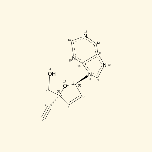 C#C[C@@]1(CO)C=C[C@H](n2cnc3cncnc32)O1